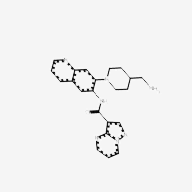 NCC1CCN(c2cc3ncccc3cc2NC(=O)c2cnn3cccnc23)CC1